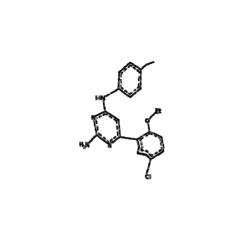 CCOc1ccc(Cl)cc1-c1cc(Nc2ccc(C)cc2)nc(N)n1